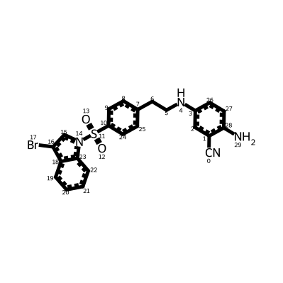 N#Cc1cc(NCCc2ccc(S(=O)(=O)n3cc(Br)c4ccccc43)cc2)ccc1N